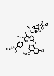 C=C[C@@H]1C[C@]1(NC(=O)[C@@H]1C[C@@H](Oc2ncc(OC)c3ccc(Cl)cc23)CN1C(=O)C(Nc1ccc(C(=O)OC(C)(C)C)cc1)C(C)(C)C)C(=O)NS(=O)(=O)C1CC1